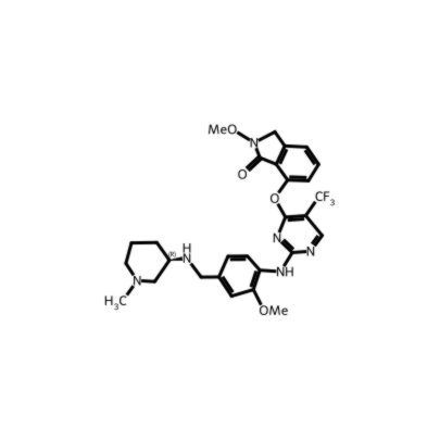 COc1cc(CN[C@@H]2CCCN(C)C2)ccc1Nc1ncc(C(F)(F)F)c(Oc2cccc3c2C(=O)N(OC)C3)n1